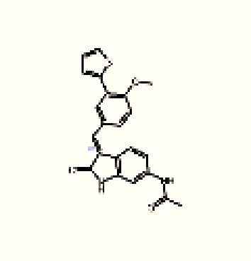 COc1ccc(/C=C2/C(=O)Nc3cc(NC(C)=O)ccc32)cc1-c1cccs1